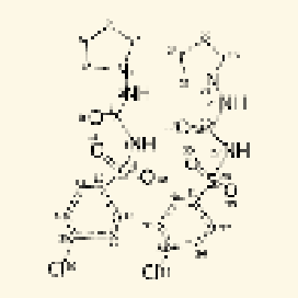 O=C(NN1CCCC1)NS(=O)(=O)c1ccc(Cl)cc1.O=C(NN1CCCC1)NS(=O)(=O)c1ccc(Cl)cc1